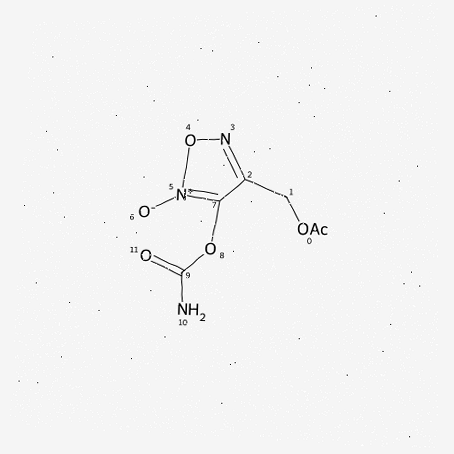 CC(=O)OCc1no[n+]([O-])c1OC(N)=O